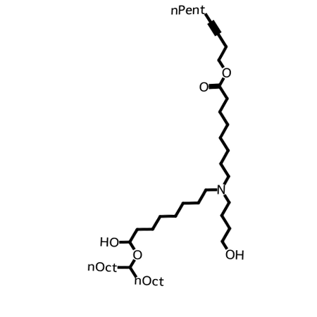 CCCCCC#CCCOC(=O)CCCCCCCN(CCCCO)CCCCCCCC(O)OC(CCCCCCCC)CCCCCCCC